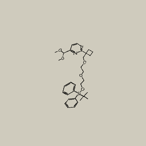 COC(OC)c1ccnc(C2(COCCOCCO[Si](c3ccccc3)(c3ccccc3)C(C)(C)C)CCC2)n1